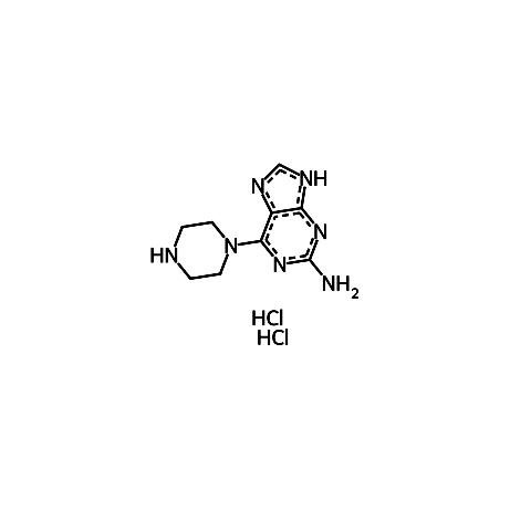 Cl.Cl.Nc1nc(N2CCNCC2)c2nc[nH]c2n1